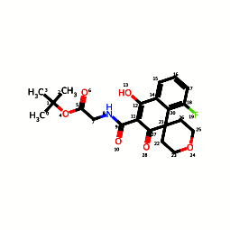 CC(C)(C)OC(=O)CNC(=O)C1=C(O)c2cccc(F)c2C2(CCOCC2)C1=O